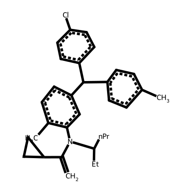 C=C(C1CC1)N(c1cc(C(c2ccc(C)cc2)c2ccc(Cl)cc2)ccc1C)C(CC)CCC